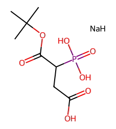 CC(C)(C)OC(=O)C(CC(=O)O)P(=O)(O)O.[NaH]